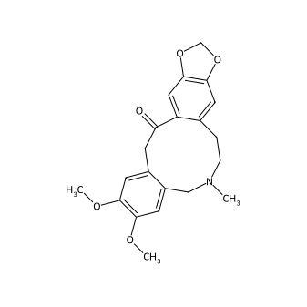 COc1cc2c(cc1OC)CN(C)CCc1cc3c(cc1C(=O)C2)OCO3